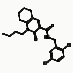 CCCCn1c2c(cc(C(=O)NCc3cc(Cl)ccc3Cl)c1=O)CCCC2